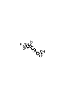 [C-]#[N+]c1c(N)nc2c(c1C)/C(=C/c1ccc(-c3ccc(Cl)c(C(=O)O)c3)o1)C(C)=C2C#N